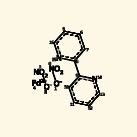 O=[N+]([O-])[O-].O=[N+]([O-])[O-].[Pd+2].c1ccc(-c2ccccn2)nc1